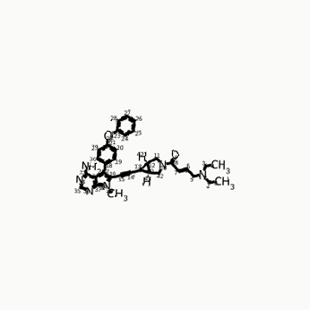 CCN(CC)C/C=C/C(=O)N1C[C@@H]2C(C#Cc3c(-c4ccc(Oc5ccccc5)cc4)c4c(N)ncnc4n3C)[C@@H]2C1